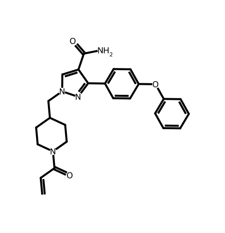 C=CC(=O)N1CCC(Cn2cc(C(N)=O)c(-c3ccc(Oc4ccccc4)cc3)n2)CC1